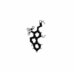 C=CCc1ccc2c(ccc3ccccc32)c1S(=O)(=O)[O-].[Li+]